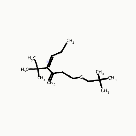 C=C(CCSCC(C)(C)C)/C(=C\CC)C(C)(C)C